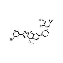 CC(n1cc(-c2cncc(Br)c2)nn1)n1ccc(N2CCC[C@@H](N(CC3CC3)C(=O)OC(C)(C)C)C2)cc1=O